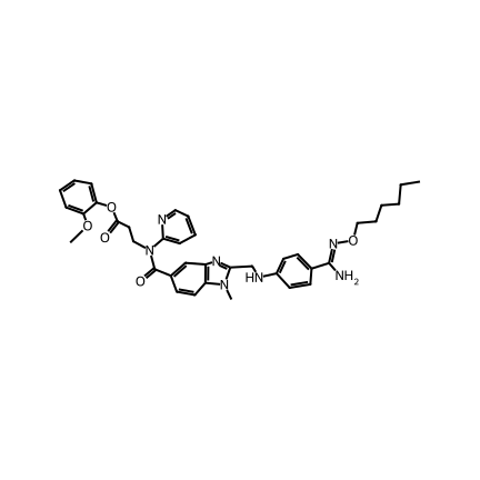 CCCCCCON=C(N)c1ccc(NCc2nc3cc(C(=O)N(CCC(=O)Oc4ccccc4OC)c4ccccn4)ccc3n2C)cc1